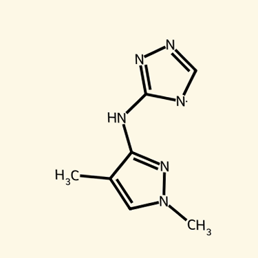 Cc1cn(C)nc1NC1=NN=C[N]1